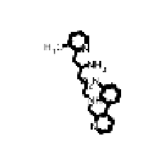 Cc1cccnc1CC(N)CCCNCc1ncccc1-c1cccc([N+](=O)[O-])c1